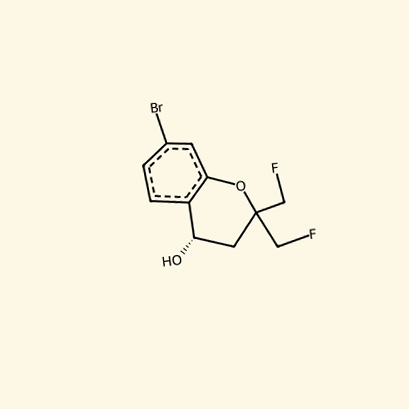 O[C@H]1CC(CF)(CF)Oc2cc(Br)ccc21